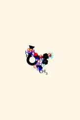 Cn1ccc(C(=O)N[C@H]2CCCCC/C=C\[C@@H]3C[C@@]3(C(=O)NS(=O)(=O)C3CC3)NC(=O)[C@@H]3C[C@@H](Oc4nc5cc(F)ccc5c5cc(OC(F)(F)F)ccc45)CN3C2=O)n1